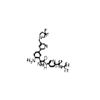 CCC(CC)NC(=O)c1ccc(NC(=O)C(=N)c2cc(-c3cncc(CN4CCC(F)(F)C4)c3)ccc2N)cn1